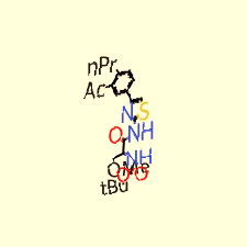 CCCc1ccc(-c2csc(NC(=O)C(COC)NC(=O)OC(C)(C)C)n2)cc1C(C)=O